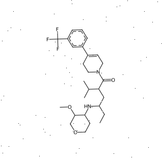 CCC(CC(C(=O)N1CC=C(c2cccc(C(F)(F)F)c2)CC1)C(C)C)NC1CCOCC1OC